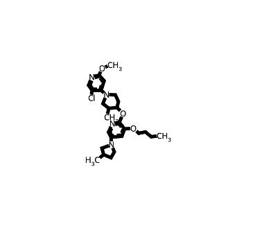 CCCCOc1cc(N2CCC(C)C2)cnc1OC1CCN(c2cc(OC)ncc2Cl)CC1C